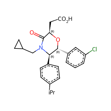 CC(C)c1ccc([C@@H]2[C@@H](c3cccc(Cl)c3)O[C@H](CC(=O)O)C(=O)N2CC2CC2)cc1